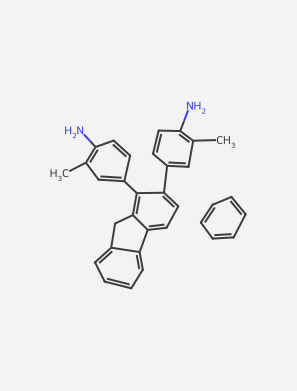 Cc1cc(-c2ccc3c(c2-c2ccc(N)c(C)c2)Cc2ccccc2-3)ccc1N.c1ccccc1